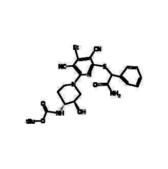 CCc1c(C#N)c(SC(C(N)=O)c2ccccc2)nc(N2CC[C@@H](NC(=O)OC(C)(C)C)[C@H](O)C2)c1C#N